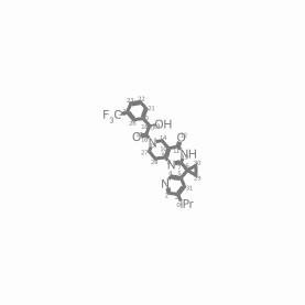 CC(C)c1cncc(C2(c3nc4c(c(=O)[nH]3)CN(C(=O)[C@H](O)c3cccc(C(F)(F)F)c3)CC4)CC2)c1